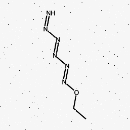 CCON=NN=NN=N